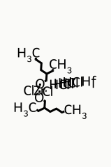 CCCCC(CC)C[O][Zr]([Cl])([Cl])[O]CC(CC)CCCC.Cl.Cl.Cl.Cl.[Hf]